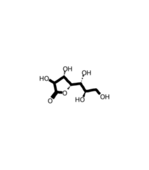 O=C1O[C@@H]([C@H](O)[C@H](O)CO)[C@@H](O)C1O